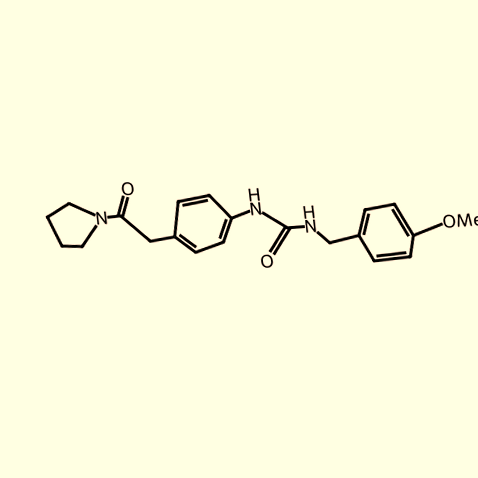 COc1ccc(CNC(=O)Nc2ccc(CC(=O)N3CCCC3)cc2)cc1